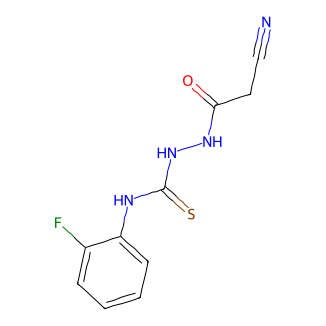 N#CCC(=O)NNC(=S)Nc1ccccc1F